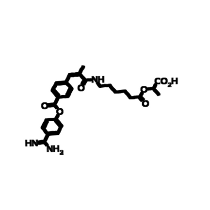 CC(=Cc1ccc(C(=O)Oc2ccc(C(=N)N)cc2)cc1)C(=O)NCCCCCC(=O)OC(C)C(=O)O